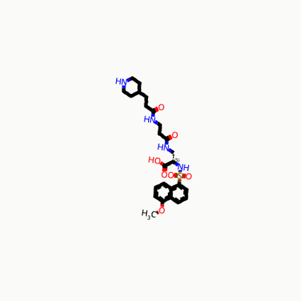 COc1cccc2c(S(=O)(=O)N[C@@H](CNC(=O)CCNC(=O)CCC3CCNCC3)C(=O)O)cccc12